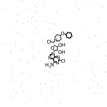 Nc1nc(Cl)nc2c1ncn2[C@@H]1O[C@H](C(Cl)N2CCC(Oc3ccccc3)CC2)[C@@H](O)[C@H]1O